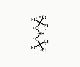 CCC(CC)(CC)OBOC(CC)(CC)CC